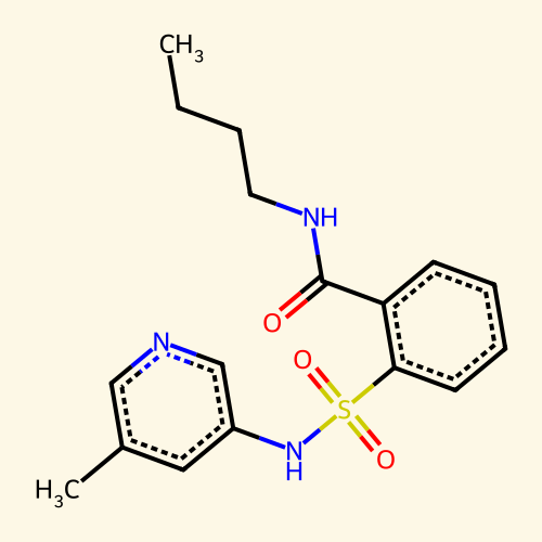 CCCCNC(=O)c1ccccc1S(=O)(=O)Nc1cncc(C)c1